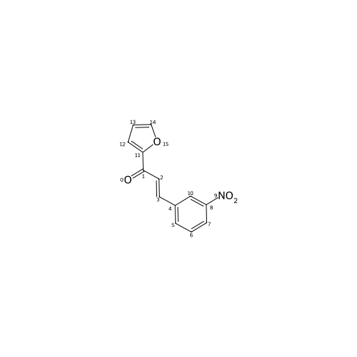 O=C(C=Cc1cccc([N+](=O)[O-])c1)c1ccco1